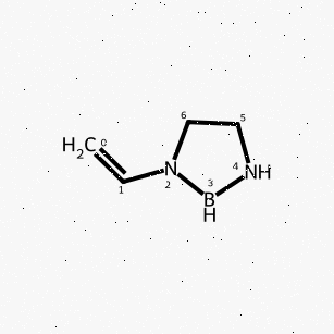 C=CN1BNCC1